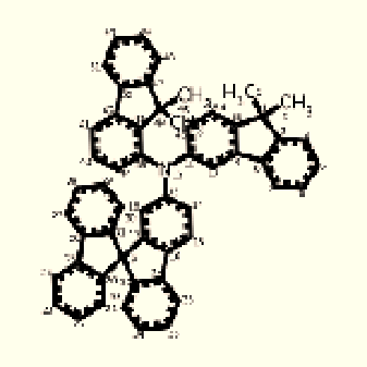 CC1(C)c2ccccc2-c2cc(N(c3ccc4c(c3)C3(c5ccccc5-c5ccccc53)c3ccccc3-4)c3cccc4c3C(C)(C)c3ccccc3-4)ccc21